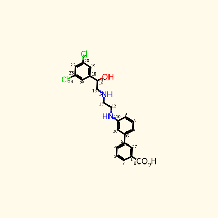 O=C(O)c1cccc(-c2cccc(NCCNCC(O)c3cc(Cl)cc(Cl)c3)c2)c1